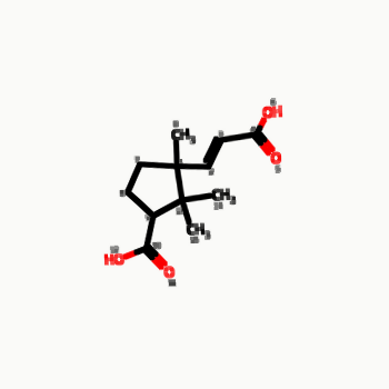 CC1(C=CC(=O)O)CCC(C(=O)O)C1(C)C